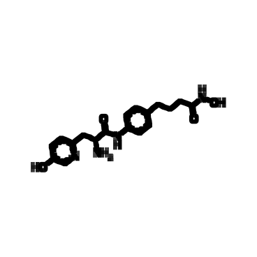 NC(Cc1ccc(O)cn1)C(=O)Nc1ccc(CCCC(=O)NO)cc1